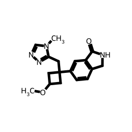 COC1CC(Cc2nncn2C)(c2ccc3c(c2)C(=O)NC3)C1